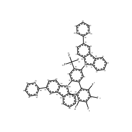 Fc1c(F)c(F)c(-c2cc(-n3c4ccccc4c4cc(-c5ncccn5)ccc43)c(C(F)(F)F)cc2-n2c3ccccc3c3cc(-c4ncccn4)ccc32)c(F)c1F